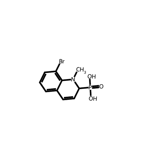 CN1c2c(Br)cccc2C=CC1P(=O)(O)O